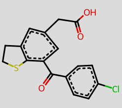 O=C(O)Cc1cc2c(c(C(=O)c3ccc(Cl)cc3)c1)SCC2